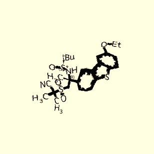 CCOc1ccc2sc3ccc([C@](C)(CS(=O)(=O)C(C)(C)C#N)N[S@+]([O-])C(C)(C)C)cc3c2c1